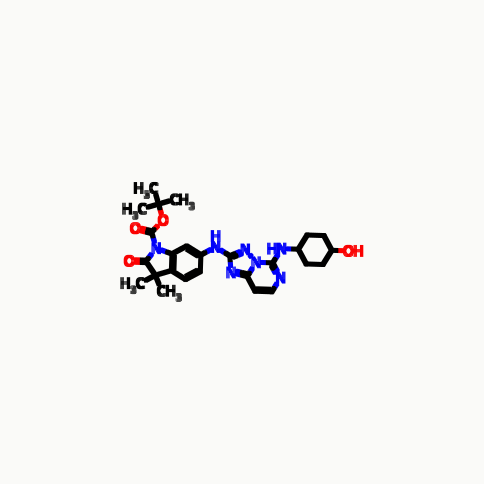 CC(C)(C)OC(=O)N1C(=O)C(C)(C)c2ccc(Nc3nc4ccnc(NC5CCC(O)CC5)n4n3)cc21